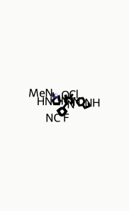 CN/C=C1/C=C(n2c(-c3ccc(C#N)c(F)c3)nc(N3CCC4NCCC4C3)c(Cl)c2=O)C=CC1=N